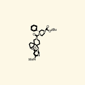 CNc1cc(=O)n(C[C@]2(O)CCN(C(=O)N3CCN(C(=O)OC(C)(C)C)C[C@H]3c3ccccc3)CC23CCCC3)cn1